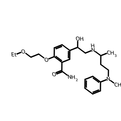 CCOCCOc1ccc(C(O)CNC(C)CCN(C)c2ccccc2)cc1C(N)=O